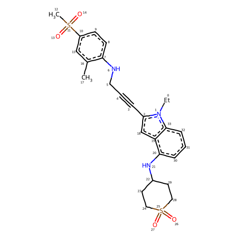 CCn1c(C#CCNc2ccc(S(C)(=O)=O)cc2C)cc2c(NC3CCS(=O)(=O)CC3)cccc21